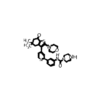 CC1(C)CC(=O)c2sc(N3CCOCC3)c(-c3ccnc(-c4cccc(NC(=O)N5CCNCC5)c4)c3)c2C1